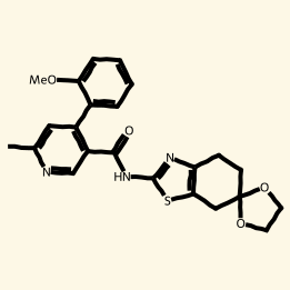 COc1ccccc1-c1cc(C)ncc1C(=O)Nc1nc2c(s1)CC1(CC2)OCCO1